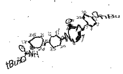 CCCCOc1ccc(-n2ccn(C3CCC(N4CCC[C@@H](NC(=O)OC(C)(C)C)C4)CC3)c2=O)cc1